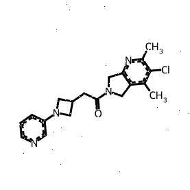 Cc1nc2c(c(C)c1Cl)CN(C(=O)CC1CN(c3cccnc3)C1)C2